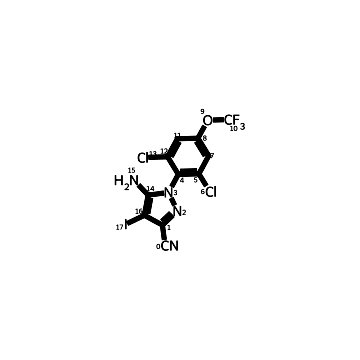 N#Cc1nn(-c2c(Cl)cc(OC(F)(F)F)cc2Cl)c(N)c1I